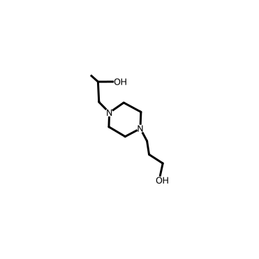 CC(O)CN1CCN(CCCO)CC1